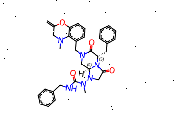 C=C1CN(C)c2c(CN3C[C@H]4N(C(=O)CN4N(C)C(=O)NCc4ccccc4)[C@@H](Cc4ccccc4)C3=O)cccc2O1